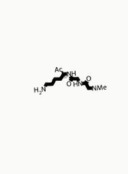 CNCC(=O)NCC(=O)N[C@@H](CCCCN)C(C)=O